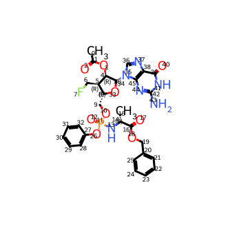 CC(=O)O[C@@H]1[C@H](CF)[C@@H](COP(=O)(N[C@H](C)C(=O)OCc2ccccc2)Oc2ccccc2)O[C@H]1n1cnc2c(=O)[nH]c(N)nc21